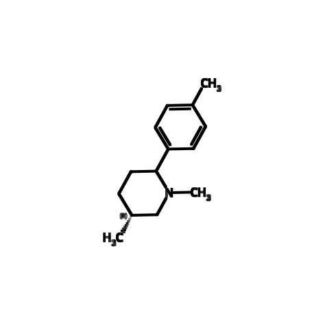 Cc1ccc(C2CC[C@@H](C)CN2C)cc1